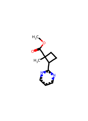 COC(=O)C1(C)CCC1c1ncccn1